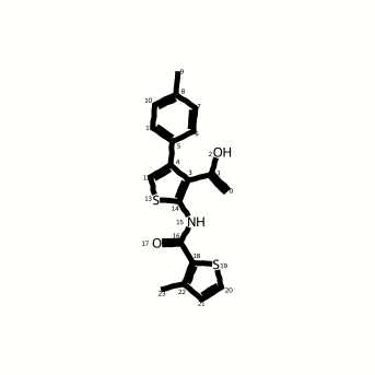 C=C(O)c1c(-c2ccc(C)cc2)csc1NC(=O)c1sccc1C